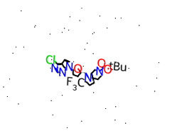 CC(C)(C)OC(=O)N1CCC2(CCC(C(F)(F)F)N2C[C@@H]2CCC(n3ccc4c(Cl)ncnc43)O2)CC1